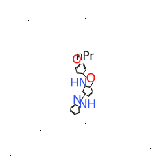 CCCOc1ccc(C(=O)Nc2cc(-c3nc4ccccc4[nH]3)ccc2C)cc1